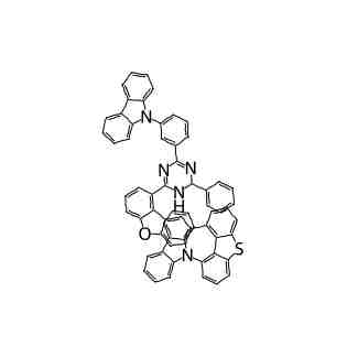 c1ccc(C2N=C(c3cccc(-n4c5ccccc5c5ccccc54)c3)N=C(c3cccc4oc5ccc(-c6cccc7sc8cccc(-n9c%10ccccc%10c%10ccccc%109)c8c67)cc5c34)N2)cc1